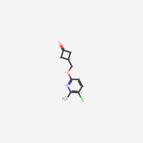 Cc1nc(OCC2CC(=O)C2)ccc1Br